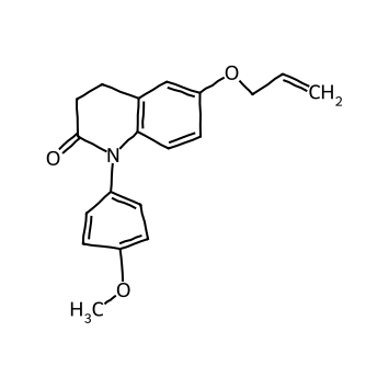 C=CCOc1ccc2c(c1)CCC(=O)N2c1ccc(OC)cc1